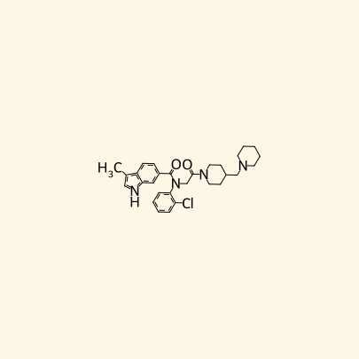 Cc1c[nH]c2cc(C(=O)N(CC(=O)N3CCC(CN4CCCCC4)CC3)c3ccccc3Cl)ccc12